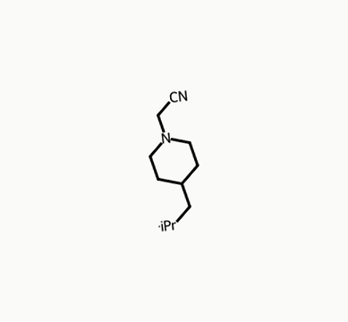 C[C](C)CC1CCN(CC#N)CC1